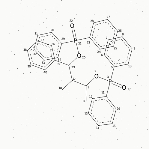 CC(OP(=O)(c1ccccc1)c1ccccc1)C(C)C(OP(=O)(c1ccccc1)c1ccccc1)c1ccccc1